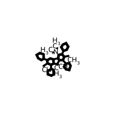 CCc1c(-c2ccccc2)cc2c(c1-c1ccccc1)C(C)(C)c1c(-c3ccccc3)c(CC)c(-c3ccccc3)c(N(CC)CC)c1-2